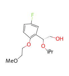 COCCOc1ccc(F)cc1[C@H](CO)OC(C)C